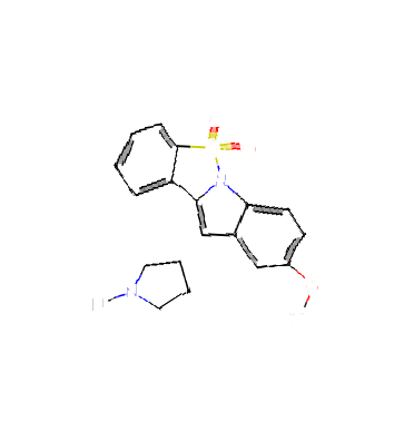 CCOc1ccc2c(c1)c([C@@H]1CCN(CC)C1)c1n2S(=O)(=O)c2ccccc2-1